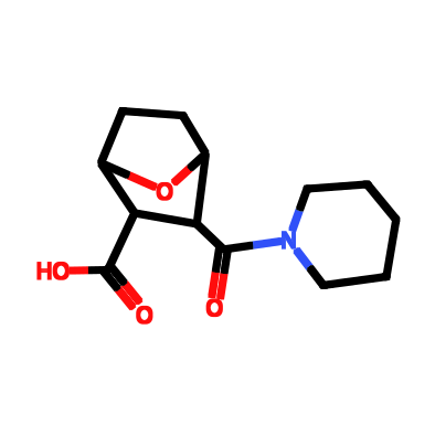 O=C(O)C1C2CCC(O2)C1C(=O)N1CCCCC1